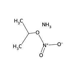 CC(C)O[N+](=O)[O-].N